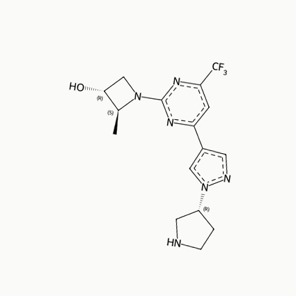 C[C@H]1[C@H](O)CN1c1nc(-c2cnn([C@@H]3CCNC3)c2)cc(C(F)(F)F)n1